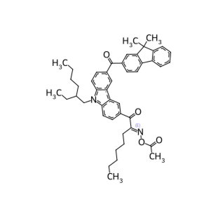 CCCCCC/C(=N\OC(C)=O)C(=O)c1ccc2c(c1)c1cc(C(=O)c3ccc4c(c3)C(C)(C)c3ccccc3-4)ccc1n2CC(CC)CCCC